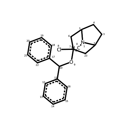 CN1C2CCC1CC(Cl)(OC(c1ccccc1)c1ccccc1)C2